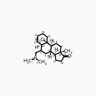 CN(C)CC1C[C@@H]2[C@H](CC[C@]3(C)C(=O)CC[C@@H]23)[C@@]2(C)CCCC[C@H]12